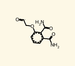 NC(=O)c1cccc(OC[C]=O)c1C(N)=O